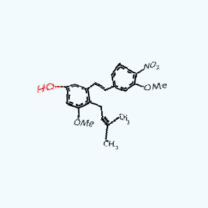 COc1cc(C=Cc2cc(O)cc(OC)c2CC=C(C)C)ccc1[N+](=O)[O-]